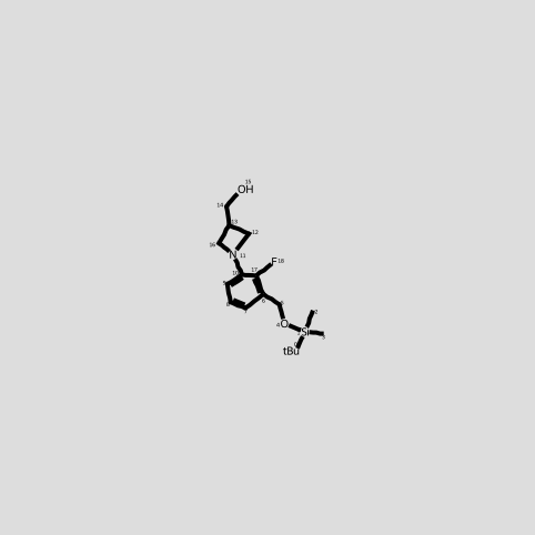 CC(C)(C)[Si](C)(C)OCc1cccc(N2CC(CO)C2)c1F